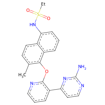 CCS(=O)(=O)Nc1cccc2c(Oc3ncccc3-c3ccnc(N)n3)c(C)ccc12